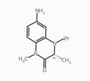 CC(C)N1c2cc(N)ccc2N(C)C(=O)[C@H]1C